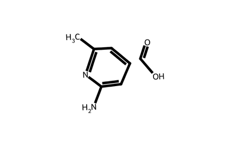 Cc1cccc(N)n1.O=CO